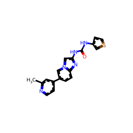 Cc1cc(-c2ccc3nc(NC(=O)Nc4ccsc4)cn3c2)ccn1